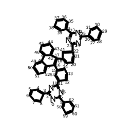 CN1C(c2ccccc2)=NC(c2cccc(-c3c(-c4cccc(-c5nc(-c6ccccc6)nc(-c6ccccc6)n5)c4)c4ccccc4c4ccccc34)c2)=NC1c1ccccc1